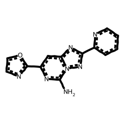 Nc1nc(-c2ncco2)cc2nc(-c3ccccn3)nn12